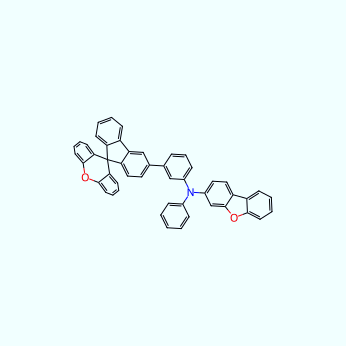 c1ccc(N(c2cccc(-c3ccc4c(c3)-c3ccccc3C43c4ccccc4Oc4ccccc43)c2)c2ccc3c(c2)oc2ccccc23)cc1